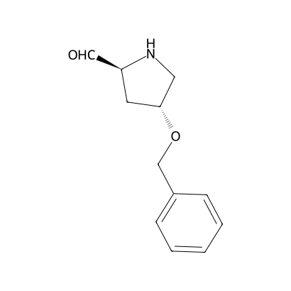 O=C[C@@H]1C[C@@H](OCc2ccccc2)CN1